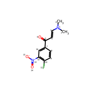 CN(C)/C=C/C(=O)c1ccc(F)c([N+](=O)[O-])c1